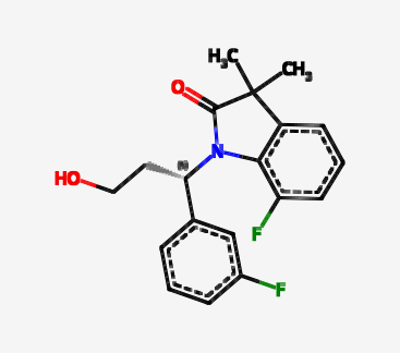 CC1(C)C(=O)N([C@@H](CCO)c2cccc(F)c2)c2c(F)cccc21